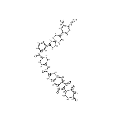 N#Cc1ccc(N2CCC3(CC2)CCN(c2cccc(C(=O)N4CCN(CC(=O)N5Cc6cc7c(cc6C5)C(=O)N(C5CCC(=O)NC5=O)C7=O)CC4)c2)C3)cc1Cl